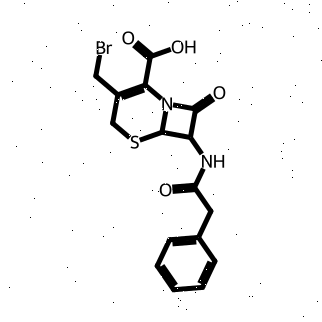 O=C(Cc1ccccc1)NC1C(=O)N2C(C(=O)O)=C(CBr)CSC12